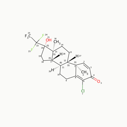 C[C@]12C=CC(=O)C(Cl)=C1CC[C@@H]1[C@@H]2CC[C@@]2(C)[C@H]1CC[C@@]2(O)C(F)(F)C(F)(F)F